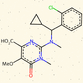 COc1c(C(=O)O)nc(N(C)C(c2ccccc2Cl)C2CC2)n(C)c1=O